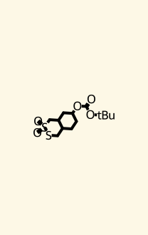 CC(C)(C)OC(=O)OC1CCC2CSS(=O)(=O)CC2C1